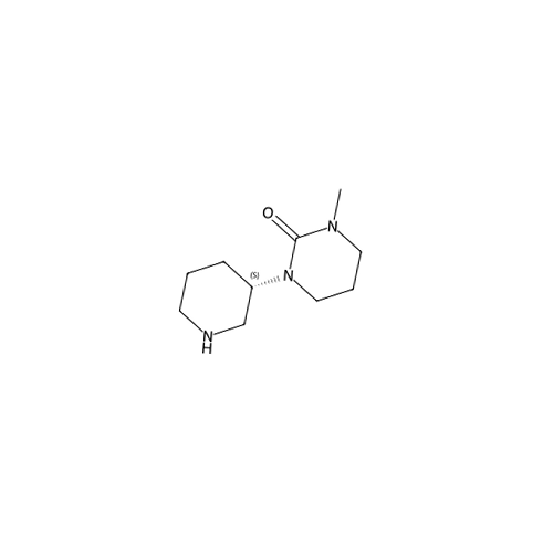 CN1CCCN([C@H]2CCCNC2)C1=O